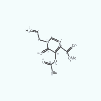 C=CCn1cnc(C(=O)OC)c(OC(=O)CCCC)c1=O